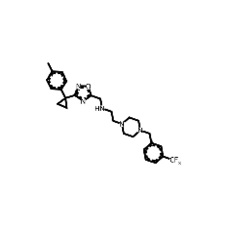 Cc1ccc(C2(c3noc(CNCCN4CCN(Cc5cccc(C(F)(F)F)c5)CC4)n3)CC2)cc1